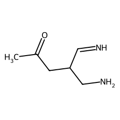 CC(=O)CC(C=N)CN